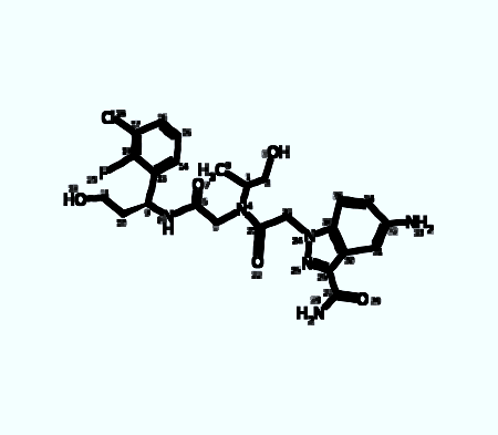 CC(CO)N(CC(=O)N[C@@H](CCO)c1cccc(Cl)c1F)C(=O)Cn1nc(C(N)=O)c2cc(N)ccc21